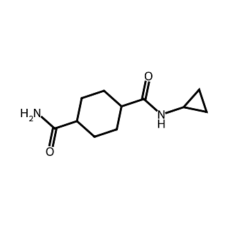 NC(=O)C1CCC(C(=O)NC2CC2)CC1